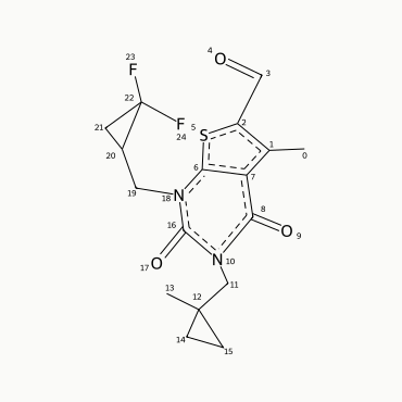 Cc1c(C=O)sc2c1c(=O)n(CC1(C)CC1)c(=O)n2CC1CC1(F)F